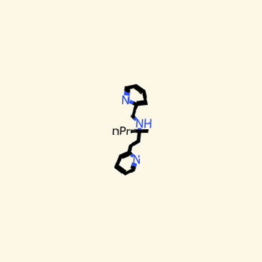 CCCC(C)(CCc1ccccn1)NCc1ccccn1